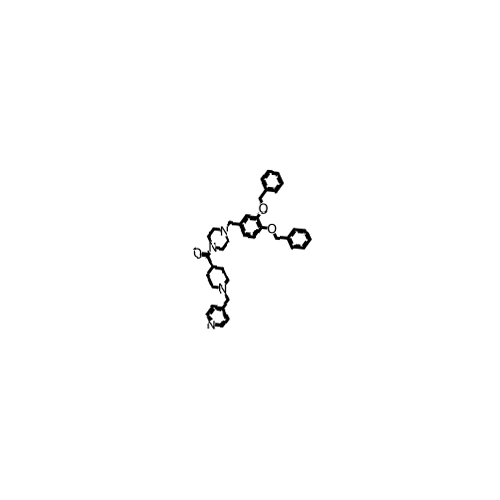 O=C(C1CCN(Cc2ccncc2)CC1)N1CCN(Cc2ccc(OCc3ccccc3)c(OCc3ccccc3)c2)CC1